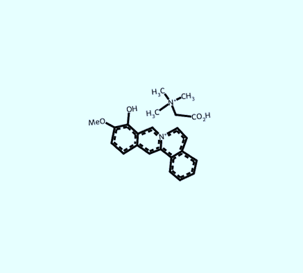 COc1ccc2cc3c4ccccc4cc[n+]3cc2c1O.C[N+](C)(C)CC(=O)O